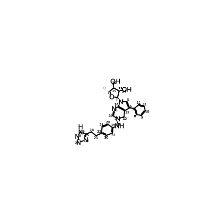 C[C@H]1O[C@@H](n2cc(-c3ccccc3)c3c2N=CN(Nc2ccc(CCc4nnn[nH]4)cc2)C3)[C@H](O)[C@@H]1O